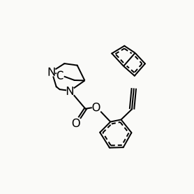 C#Cc1ccccc1OC(=O)N1CCN2CCC1CC2.c1cc2ccc1-2